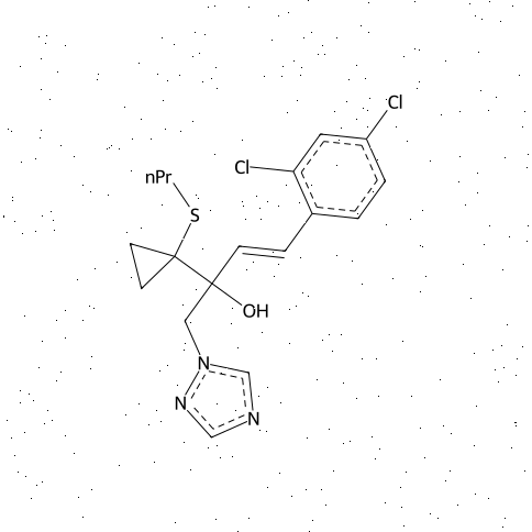 CCCSC1(C(O)(C=Cc2ccc(Cl)cc2Cl)Cn2cncn2)CC1